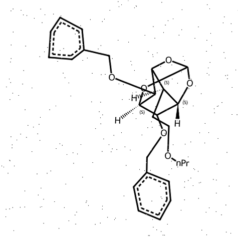 CCCOCC[C@H]1C2OC3O[C@@H](C2OCc2ccccc2)C(OCc2ccccc2)[C@H]1O3